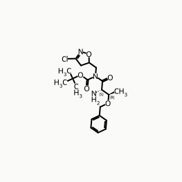 C[C@@H](OCc1ccccc1)[C@H](N)C(=O)N(CC1CC(Cl)=NO1)C(=O)OC(C)(C)C